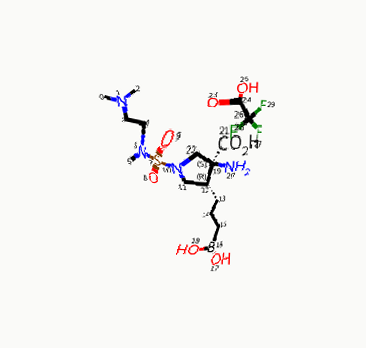 CN(C)CCN(C)S(=O)(=O)N1C[C@@H](CCCB(O)O)[C@@](N)(C(=O)O)C1.O=C(O)C(F)(F)F